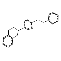 c1ccc(COc2ccc(C3CCc4ccncc4C3)cc2)cc1